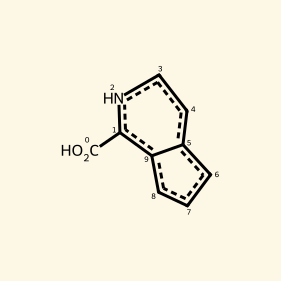 O=C(O)c1[nH]ccc2cccc1-2